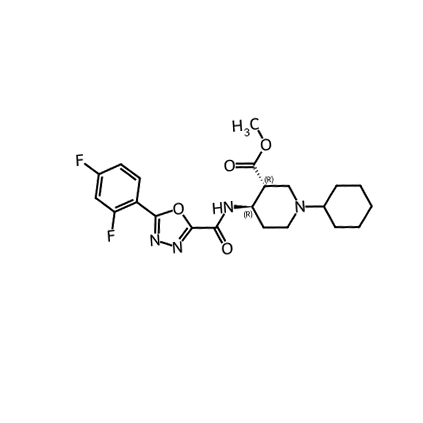 COC(=O)[C@@H]1CN(C2CCCCC2)CC[C@H]1NC(=O)c1nnc(-c2ccc(F)cc2F)o1